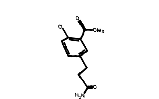 COC(=O)c1cc(CCC(N)=O)ccc1Cl